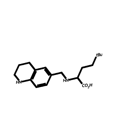 CC(C)(C)CCC(NCc1ccc2c(c1)CCCN2)C(=O)O